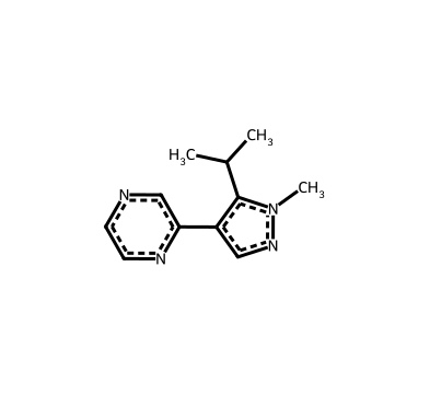 CC(C)c1c(-c2cnccn2)cnn1C